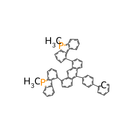 Cp1c2ccccc2c2c(-c3cccc4c(-c5ccc(-c6ccccc6)cc5)c5cccc(-c6cccc7c6c6ccccc6p7C)c5cc34)cccc21